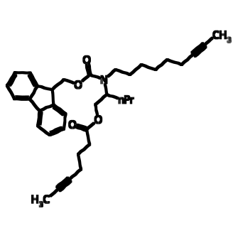 CC#CCCCCCCN(C(=O)OCC1c2ccccc2-c2ccccc21)C(CCC)COC(=O)CCCC#CC